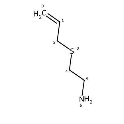 C=CCSCCN